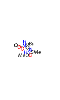 CCCCc1cc(N=C(NC(=O)OC)SC)ccc1NC(=O)COc1ccccc1